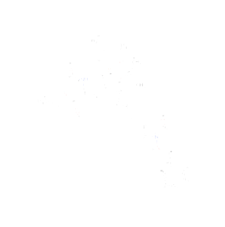 CCOC(=O)C(C=C(CCCCCCN(C=O)OCc1ccccc1)CP(=O)(OC(C)C)OC(C)C)NC=O